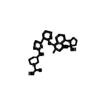 Cc1ccc2c(N3CCCS3(O)O)cccc2c1Oc1ncccc1-c1ccnc(NC2CCCN(C(=O)O)C2)n1